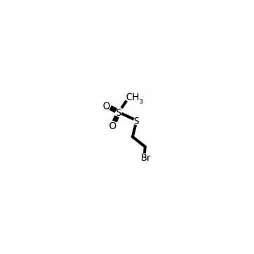 CS(=O)(=O)SCCBr